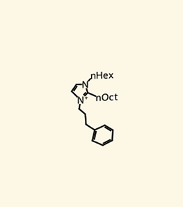 CCCCCCCCc1n(CCCCCC)cc[n+]1CCCc1ccccc1